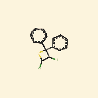 ClC1SC(c2ccccc2)(c2ccccc2)C1Cl